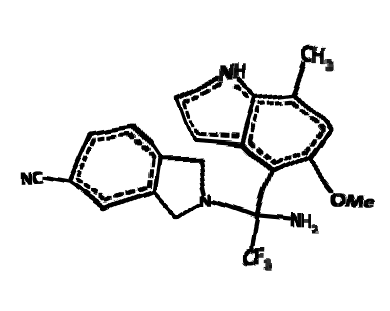 COc1cc(C)c2[nH]ccc2c1C(N)(N1Cc2ccc(C#N)cc2C1)C(F)(F)F